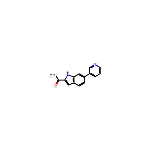 COC(=O)c1cc2ccc(-c3cccnc3)cc2[nH]1